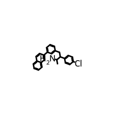 CC(N)C(Cc1cccc(-c2ccc3ccccc3c2)c1)c1ccc(Cl)cc1